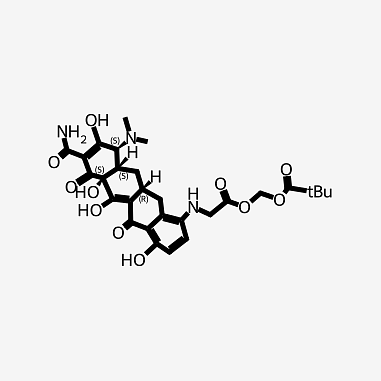 CN(C)[C@@H]1C(O)=C(C(N)=O)C(=O)[C@@]2(O)C(O)=C3C(=O)c4c(O)ccc(NCC(=O)OCOC(=O)C(C)(C)C)c4C[C@H]3C[C@@H]12